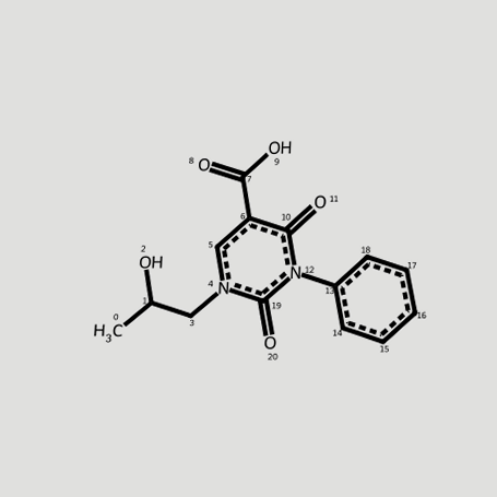 CC(O)Cn1cc(C(=O)O)c(=O)n(-c2ccccc2)c1=O